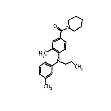 CCCN(c1cccc(C)c1)c1ccc(C(=O)N2CCCCC2)cc1C